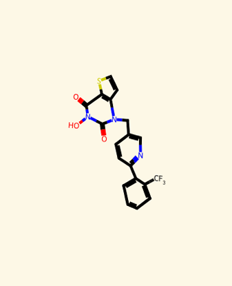 O=c1c2sccc2n(Cc2ccc(-c3ccccc3C(F)(F)F)nc2)c(=O)n1O